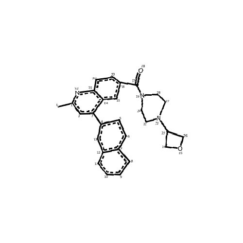 Cc1cc(-c2ccc3ccccc3c2)c2cc(C(=O)N3CCN(C4COC4)CC3)ccc2n1